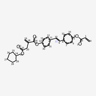 C=CC(=O)Oc1ccc(/C=C/c2ccc(OC(=O)C(=C)CC(=O)OC3CCCCC3)cc2)cc1